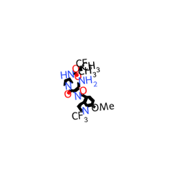 COc1ccc(-c2nc(C(=O)N3CC[C@@H](NC(=O)OC(C)(C)C(F)(F)F)C3)c(CN)o2)c2ccc(C(F)(F)F)nc12